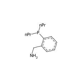 CCCP(CCC)c1ccccc1CN